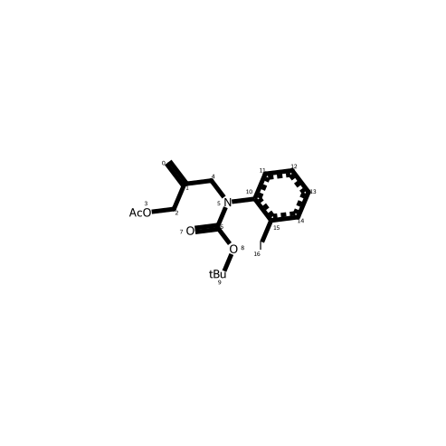 C=C(COC(C)=O)CN(C(=O)OC(C)(C)C)c1ccccc1I